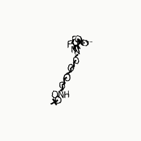 CC(C)(C)OC(=O)NCCOCCOCCOCCOCCn1cc([N+](=O)[O-])c(C(F)F)n1